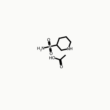 CC(=O)O.NS(=O)(=O)C1CCCNC1